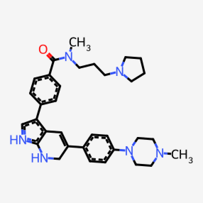 CN1CCN(c2ccc(C3=Cc4c(-c5ccc(C(=O)N(C)CCCN6CCCC6)cc5)c[nH]c4NC3)cc2)CC1